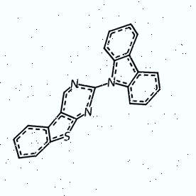 c1ccc2c(c1)sc1nc(-n3c4ccccc4c4ccccc43)ncc12